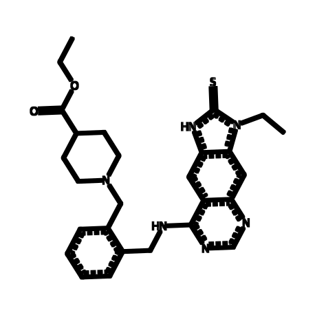 CCOC(=O)C1CCN(Cc2ccccc2CNc2ncnc3cc4c(cc23)[nH]c(=S)n4CC)CC1